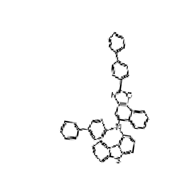 c1ccc(-c2ccc(-c3nc4cc(N(c5ccc(-c6ccccc6)cc5)c5cccc6sc7ccccc7c56)c5ccccc5c4o3)cc2)cc1